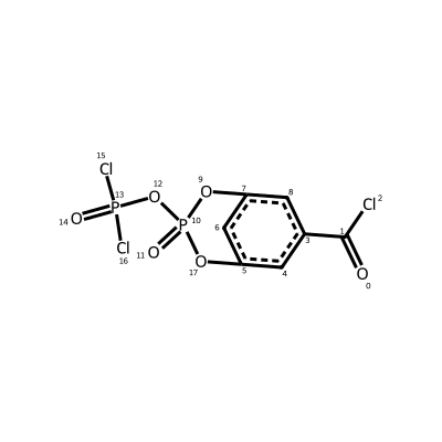 O=C(Cl)c1cc2cc(c1)OP(=O)(OP(=O)(Cl)Cl)O2